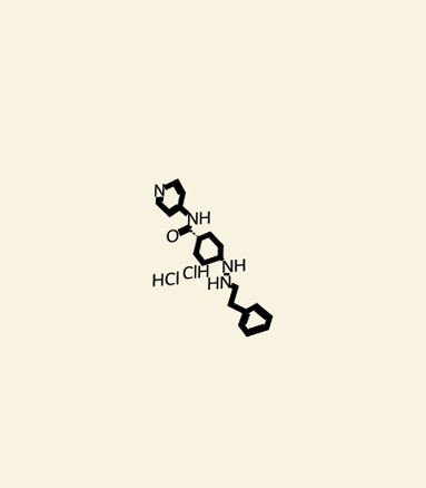 Cl.Cl.O=C(Nc1ccncc1)[C@H]1CC[C@H](NNCCc2ccccc2)CC1